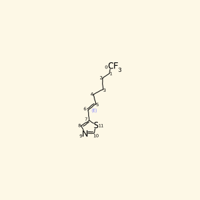 FC(F)(F)CCCC/C=C/c1cncs1